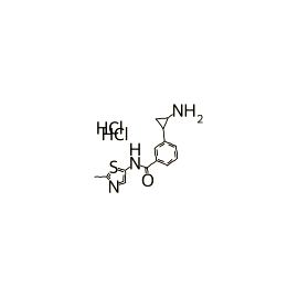 Cc1ncc(NC(=O)c2cccc(C3CC3N)c2)s1.Cl.Cl